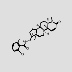 CN1C(=O)C=C[C@]2(C)[C@H]3CC[C@]4(C)C(CNC(=O)c5c(Cl)cccc5Cl)CC[C@H]4[C@@H]3CC[C@@H]12